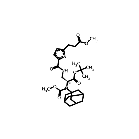 COC(=O)CCc1ccc(C(=O)NC[C@@H](C(=O)OC(C)(C)C)N(C(=O)OC)C23CC4CC(CC(C4)C2)C3)s1